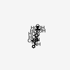 O=P(O)(O)C(CO)(CO)OC[C@H]1OC[C@@H](n2ncc3c(NC4CCCC4)nc(Cl)nc32)[C@H](O)[C@@H]1O